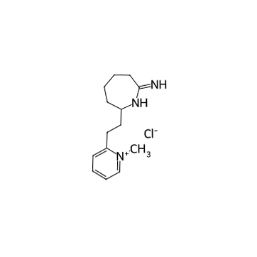 C[n+]1ccccc1CCC1CCCCC(=N)N1.[Cl-]